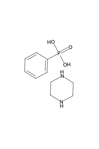 C1CNCCN1.O=P(O)(O)c1ccccc1